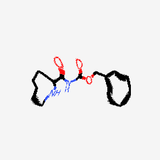 O=C(NC(=O)C1CCCCN1)OCc1ccccc1